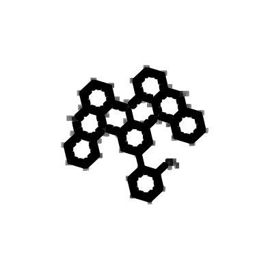 Cc1ccccc1-c1cc2c3c(c1)n1c4ccccc4sc4cccc(c41)n-3c1cccc3sc4ccccc4n2c31